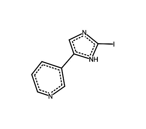 Ic1ncc(-c2cccnc2)[nH]1